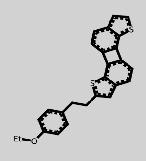 CCOc1ccc(CCc2cc3ccc4c(c3s2)-c2ccc3ccsc3c2-4)cc1